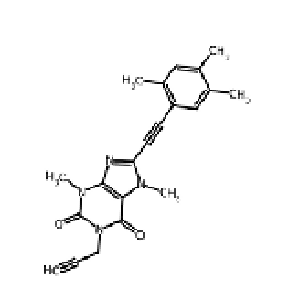 C#CCn1c(=O)c2c(nc(C#Cc3cc(C)c(C)cc3C)n2C)n(C)c1=O